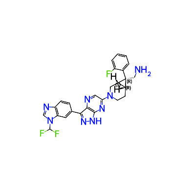 NC[C@]1(c2ccccc2F)[C@@H]2CCN(c3cnc4c(-c5ccc6ncn(C(F)F)c6c5)n[nH]c4n3)C[C@@H]21